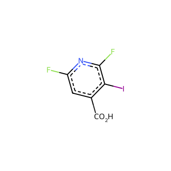 O=C(O)c1cc(F)nc(F)c1I